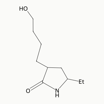 CCC1CC(CCCCO)C(=O)N1